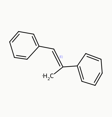 [CH2]/C(=C\c1ccccc1)c1ccccc1